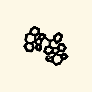 C1=Cc2ccccc2C2(c3ccccc31)c1ccccc1-c1c(N(c3ccccc3)c3cccc4c3-c3ccccc3C43c4ccccc4C=Cc4ccccc43)cccc12